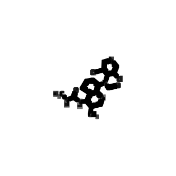 CNC(=O)Nc1c(C)cnc2c(N(C=O)c3c(Cl)cncc3Cl)cccc12